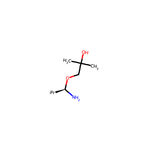 CC(C)[C@H](N)OCC(C)(C)O